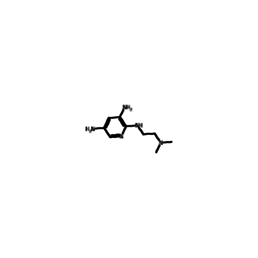 CN(C)CCNc1ncc(N)cc1N